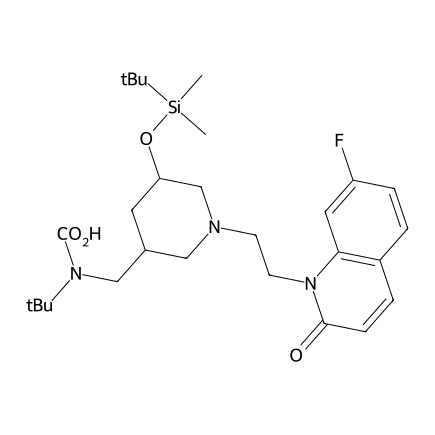 CC(C)(C)N(CC1CC(O[Si](C)(C)C(C)(C)C)CN(CCn2c(=O)ccc3ccc(F)cc32)C1)C(=O)O